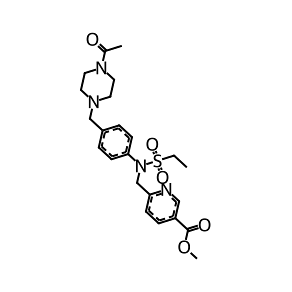 CCS(=O)(=O)N(Cc1ccc(C(=O)OC)cn1)c1ccc(CN2CCN(C(C)=O)CC2)cc1